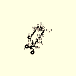 CC(C)[C@H](NC(=O)CCCCCN1C(=O)CCC1=O)C(=O)N[C@@H](C)C(=O)N[C@@H](CCC(=O)NCCNC(=O)[C@@H](N)CCN(C(=O)CO)[C@@H](c1cc(-c2cc(F)ccc2F)cn1Cc1ccccc1)C(C)(C)C)C(=O)O